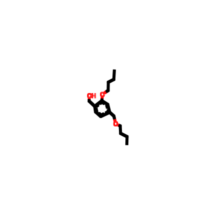 CCCCOCc1ccc(CO)c(OCCCC)c1